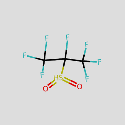 O=[SH](=O)C(F)(C(F)(F)F)C(F)(F)F